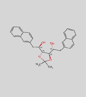 CC1(C)O[C@H]([C@H](O)Cc2ccc3ccccc3c2)[C@@H]([C@H](O)Cc2ccc3ccccc3c2)O1